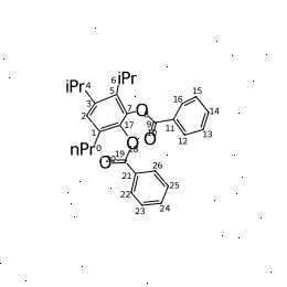 CCCc1cc(C(C)C)c(C(C)C)c(OC(=O)c2ccccc2)c1OC(=O)c1ccccc1